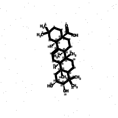 CC1(C)CC[C@]2(C(=O)O)CC[C@]3(C)C(=CC[C@@H]4[C@@]5(C)C[C@@H](O)[C@@H](O)C(C)(C)C5CC[C@]43C)[C@H]2C1